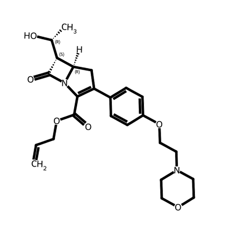 C=CCOC(=O)C1=C(c2ccc(OCCN3CCOCC3)cc2)C[C@@H]2[C@@H]([C@@H](C)O)C(=O)N12